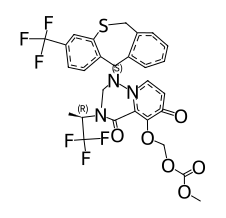 COC(=O)OCOc1c2n(ccc1=O)N([C@H]1c3ccccc3CSc3cc(C(F)(F)F)ccc31)CN([C@H](C)C(F)(F)F)C2=O